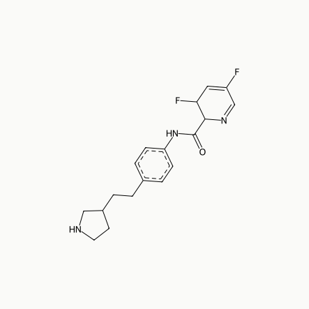 O=C(Nc1ccc(CCC2CCNC2)cc1)C1N=CC(F)=CC1F